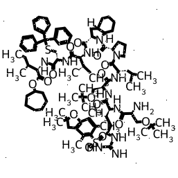 CC[C@H](C)[C@H](NC(=O)[C@@H]1C[C@@H]2CCCC[C@@H]2N1C(=O)[C@@H]1CCCN1C(=O)[C@H](CC(C)C)NC(=O)[C@H](COC(C)(C)C)NC(=O)[C@H](CCCNC(=N)NS(=O)(=O)c1c(C)c(C)c2c(c1C)CC(C)(C)O2)NC(=O)[C@@H](N)COC(C)(C)C)C(=O)N[C@@H](CSC(c1ccccc1)(c1ccccc1)c1ccccc1)C(=O)N[C@H](C(=O)OC1CCCCCC1)[C@@H](C)CC